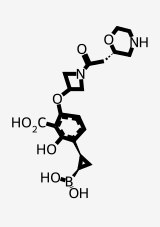 O=C(O)c1c(OC2CN(C(=O)C[C@H]3CNCCO3)C2)ccc([C@H]2C[C@H]2B(O)O)c1O